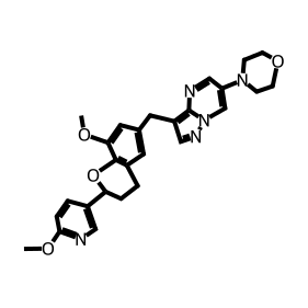 COc1ccc(C2CCc3cc(Cc4cnn5cc(N6CCOCC6)cnc45)cc(OC)c3O2)cn1